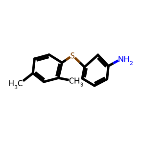 Cc1ccc(Sc2cccc(N)c2)c(C)c1